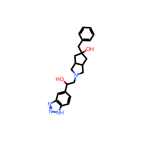 OC(CN1CC2CC(O)(Cc3ccccc3)CC2C1)c1ccc2[nH]nnc2c1